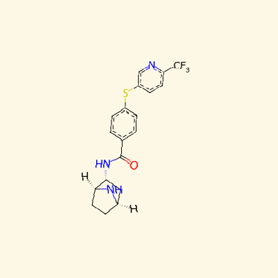 O=C(N[C@@H]1C[C@H]2CC[C@@H]1N2)c1ccc(Sc2ccc(C(F)(F)F)nc2)cc1